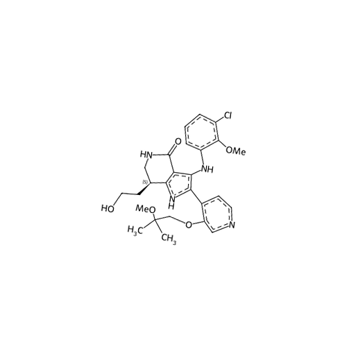 COc1c(Cl)cccc1Nc1c(-c2ccncc2OCC(C)(C)OC)[nH]c2c1C(=O)NC[C@@H]2CCO